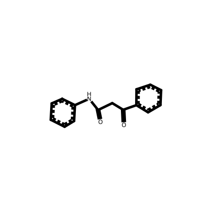 O=C(CC(=O)c1ccccc1)Nc1[c]cccc1